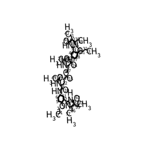 CCCOc1ccc(NC(=O)C(CCC(=O)OCC(NC(C)=O)C(=O)Nc2ccc(OCCC)c(-c3nc(CC)c(CC)c(=O)[nH]3)c2)NC(C)=O)cc1-c1nc(CC)c(CC)c(=O)[nH]1